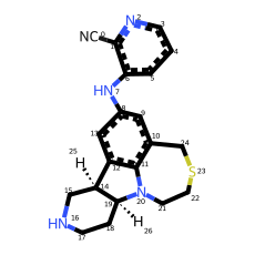 N#Cc1ncccc1Nc1cc2c3c(c1)[C@@H]1CNCC[C@@H]1N3CCSC2